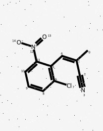 CC(C#N)=Cc1c(Cl)cccc1[N+](=O)[O-]